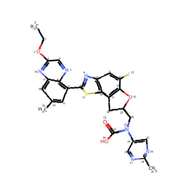 CCOc1cnc2c(-c3nc4cc(F)c5c(c4s3)CC(CN(C(=O)O)c3cnc(C)nc3)O5)cc(C)cc2n1